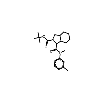 Cc1cccc(N(C)C(=O)C2C3CCCCC3CN2C(=O)OC(C)(C)C)c1